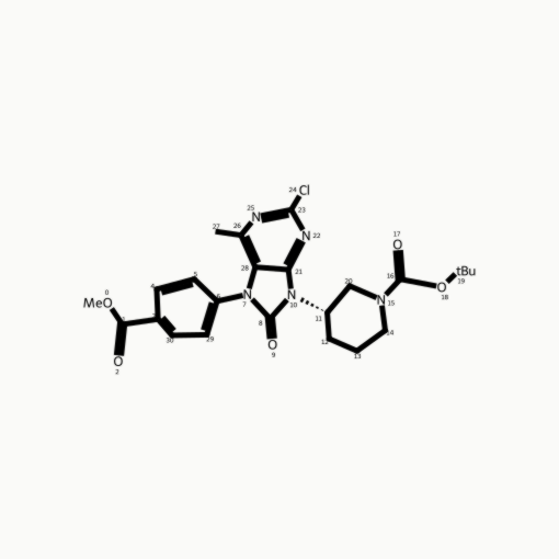 COC(=O)c1ccc(-n2c(=O)n([C@H]3CCCN(C(=O)OC(C)(C)C)C3)c3nc(Cl)nc(C)c32)cc1